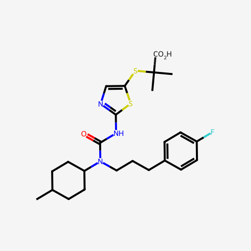 CC1CCC(N(CCCc2ccc(F)cc2)C(=O)Nc2ncc(SC(C)(C)C(=O)O)s2)CC1